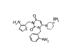 Nc1ccccc1Cn1c(N2CCC[C@@H](N)C2)cc(=O)n(Cc2sccc2N)c1=O